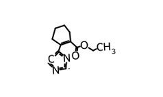 CCOC(=O)C1=C(c2ccn[c]n2)CCCC1